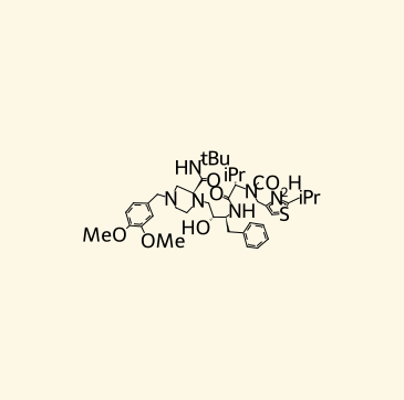 COc1ccc(CN2CCN(C[C@@H](O)[C@H](Cc3ccccc3)NC(=O)[C@H](C(C)C)N(Cc3csc(C(C)C)n3)C(=O)O)[C@H](C(=O)NC(C)(C)C)C2)cc1OC